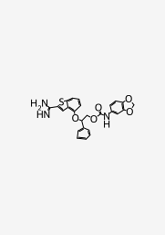 N=C(N)c1cc2c(OC(COC(=O)Nc3ccc4c(c3)OCO4)c3ccccc3)cccc2s1